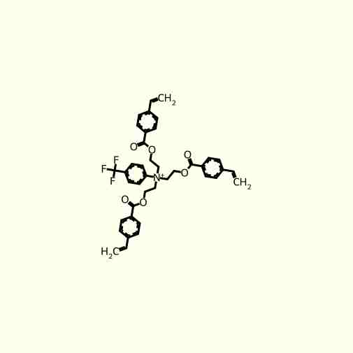 C=Cc1ccc(C(=O)OCC[N+](CCOC(=O)c2ccc(C=C)cc2)(CCOC(=O)c2ccc(C=C)cc2)c2ccc(C(F)(F)F)cc2)cc1